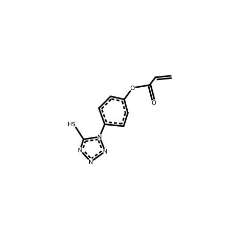 C=CC(=O)Oc1ccc(-n2nnnc2S)cc1